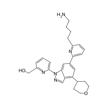 NCCCCc1cccc(-c2cc(C3CCOCC3)c3cnn(-c4cccc(CO)n4)c3c2)n1